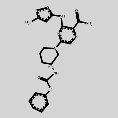 Cc1cc(Nc2nc(N3CCC[C@@H](NC(=O)Oc4ccccc4)C3)cnc2C(N)=O)sn1